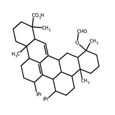 CC(C)C1CCC2C3=C1C1C(C(C)C)CCC4C1C(CC1C(C)(OC=O)CCCC41C)C3=CC1C(C)(C(=O)O)CCCC21C